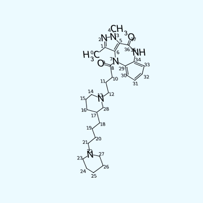 Cc1nn(C)c2c1N(C(=O)CCCN1CCCC(CCCCN3CCCCC3)C1)c1ccccc1NC2=O